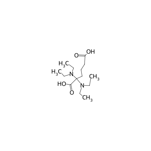 CCN(CC)C(CCCC(=O)O)(C(=O)O)N(CC)CC